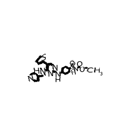 CCOC(=O)/N=[SH](=O)/c1ccc(Nc2ncc(-c3cccs3)c(NCc3ccncc3)n2)cc1